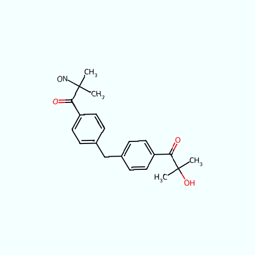 CC(C)(O)C(=O)c1ccc(Cc2ccc(C(=O)C(C)(C)N=O)cc2)cc1